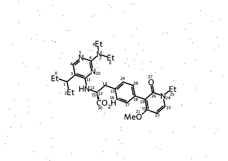 CCC(CC)c1cnc(N(CC)CC)nc1N[C@@H](Cc1ccc(-c2c(OC)ccn(CC)c2=O)cc1)C(=O)O